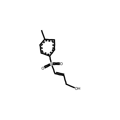 Cc1ccc(S(=O)(=O)C=CCO)cc1